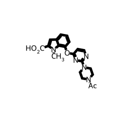 CC(=O)N1CCN(c2nccc(Oc3cccc4cc(C(=O)O)n(C)c34)n2)CC1